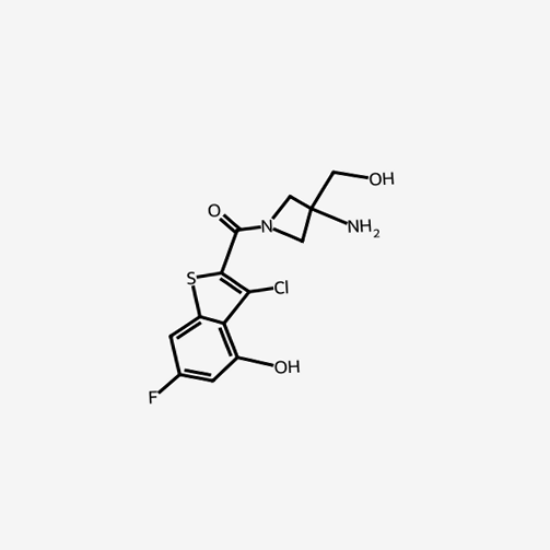 NC1(CO)CN(C(=O)c2sc3cc(F)cc(O)c3c2Cl)C1